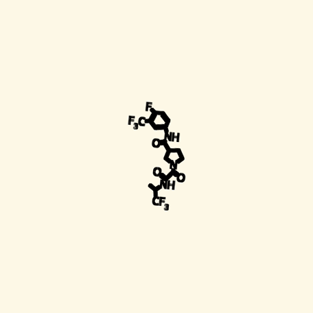 CC(NC(=O)C(=O)N1CCC(C(=O)Nc2ccc(F)c(C(F)(F)F)c2)C1)C(F)(F)F